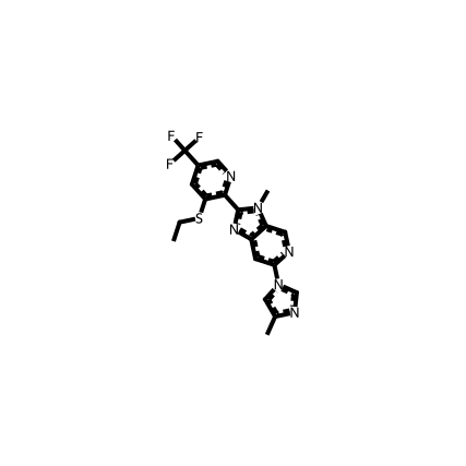 CCSc1cc(C(F)(F)F)cnc1-c1nc2cc(-n3cnc(C)c3)ncc2n1C